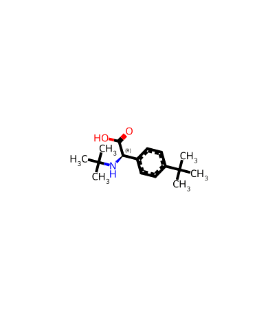 CC(C)(C)N[C@@H](C(=O)O)c1ccc(C(C)(C)C)cc1